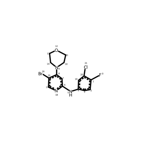 Fc1ccc(Nc2cc(N3CCOCC3)c(Br)cn2)cc1Cl